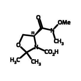 CON(C)C(=O)[C@@H]1COC(C)(C)N1C(=O)O